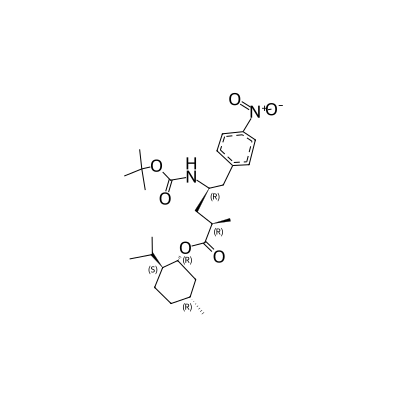 CC(C)[C@@H]1CC[C@@H](C)C[C@H]1OC(=O)[C@H](C)C[C@H](Cc1ccc([N+](=O)[O-])cc1)NC(=O)OC(C)(C)C